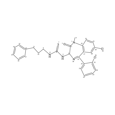 CN1C(=O)C(NC(=S)NCCCc2ccccc2)N=C(c2ccccc2Cl)c2cc(Cl)ccc21